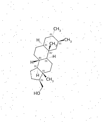 C[C@H]1C[C@@H]2CC[C@@H]3[C@H](CC[C@]4(C)[C@@H](CO)CC[C@@H]34)[C@@]2(C)C[C@@H]1C